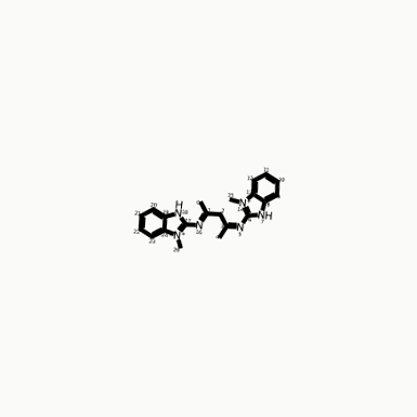 CC(CC(C)=Nc1[nH]c2ccccc2[n+]1C)=Nc1[nH]c2ccccc2[n+]1C